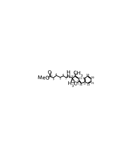 COC(=O)CCCCCNC(=O)C(C)=CC(C)=Cc1ccccc1